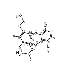 CCCCCCCCCCCCc1ccc(OC(C)N)c(C)c1C.COc1c(Cl)ccc(Cl)c1C(=O)O